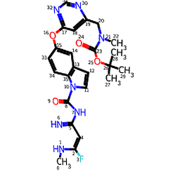 CN/C(F)=C\C(=N)NC(=O)n1ccc2cc(Oc3cc(CN(C)C(=O)OC(C)(C)C)ncn3)ccc21